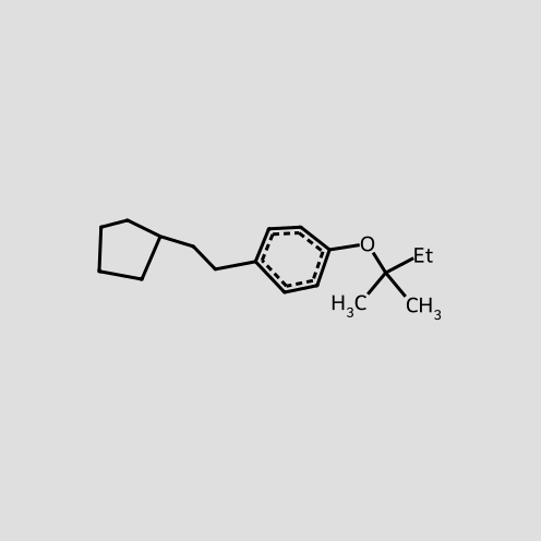 CCC(C)(C)Oc1ccc(CCC2CCCC2)cc1